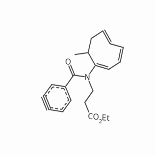 CCOC(=O)CCN(C(=O)c1cc#ccc1)/C1=C/C=C\C=C\CC1C